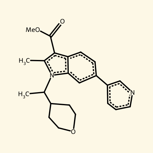 COC(=O)c1c(C)n(C(C)C2CCOCC2)c2cc(-c3cccnc3)ccc12